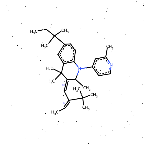 C/C=C(\C=C1/C(C)N(c2ccnc(C)c2)c2ccc(C(C)(C)CC)cc2C1(C)C)C(C)(C)C